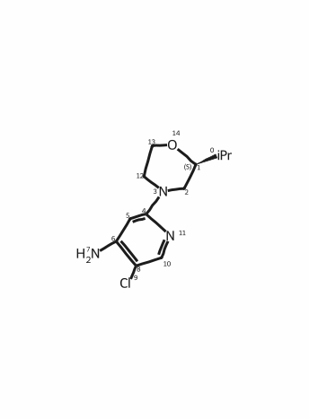 CC(C)[C@H]1CN(c2cc(N)c(Cl)cn2)CCO1